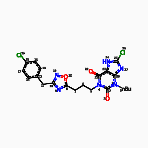 CCCCn1c(=O)n(CCCc2nc(Cc3ccc(Cl)cc3)no2)c(=O)c2[nH]c(Cl)nc21